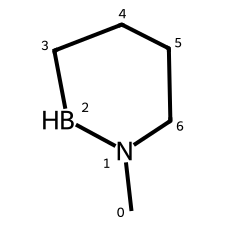 CN1BCCCC1